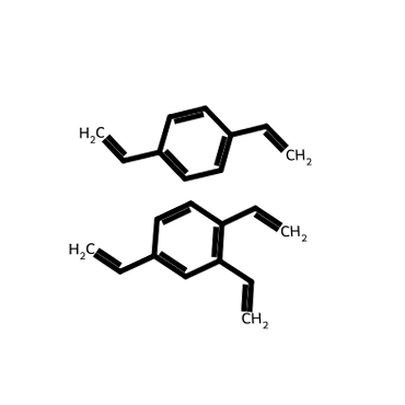 C=Cc1ccc(C=C)c(C=C)c1.C=Cc1ccc(C=C)cc1